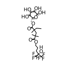 CCC(C)(CC(C)(C)C(=O)OCCCC(O)(C(F)(F)F)C(F)(F)F)C(=O)OC[C@H]1O[C@@H](O)[C@H](O)[C@@H](O)[C@@H]1O